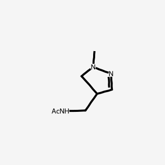 CC(=O)NCC1C=NN(C)C1